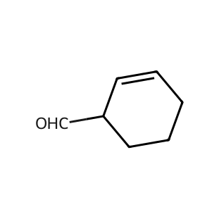 O=CC1C=CCCC1